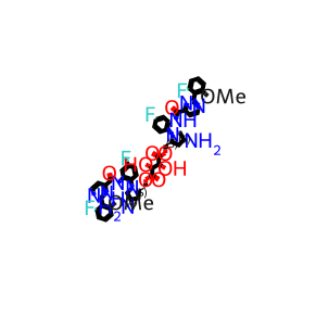 COc1cccc(F)c1-c1nccc(C(=O)Nc2cc(F)ccc2N2C[C@@H](N)C[C@H]2COC(=O)C(O)C(O)C(=O)OC[C@@H]2C[C@H](N)CN2c2ccc(F)cc2NC(=O)c2ccnc(-c3c(F)cccc3OC)n2)n1